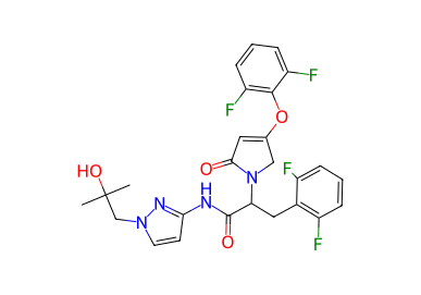 CC(C)(O)Cn1ccc(NC(=O)C(Cc2c(F)cccc2F)N2CC(Oc3c(F)cccc3F)=CC2=O)n1